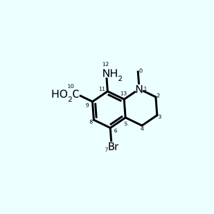 CN1CCCc2c(Br)cc(C(=O)O)c(N)c21